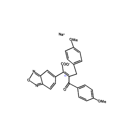 COc1ccc(C/C(C(=O)c2ccc(OC)cc2)=C(\C(=O)[O-])c2ccc3nonc3c2)cc1.[Na+]